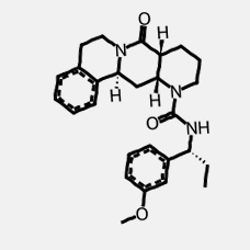 CC[C@@H](NC(=O)N1CCC[C@H]2C(=O)N3CCc4ccccc4[C@@H]3C[C@H]21)c1cccc(OC)c1